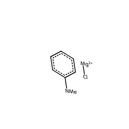 CNc1ccccc1.[Mg+2][Cl]